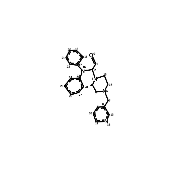 O=CC(N1CCN(Cc2cccnc2)CC1)N(c1ccccc1)c1ccccc1